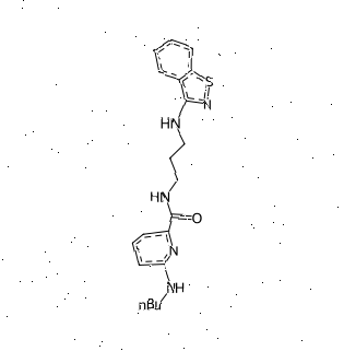 CCCCNc1cccc(C(=O)NCCCNc2nsc3ccccc23)n1